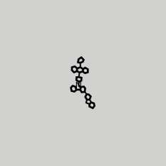 c1ccc(-c2c3ccccc3c(-c3ccc(-n4c5ccccc5c5cc(-c6ccc7c(c6)Cc6ccccc6-7)ccc54)cc3)c3ccccc23)cc1